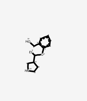 CCC(Oc1ccccc1CO)C1CCNC1